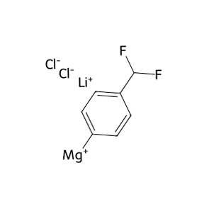 FC(F)c1cc[c]([Mg+])cc1.[Cl-].[Cl-].[Li+]